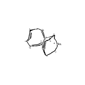 C1#CC2CNC(C1)c1ccccc12